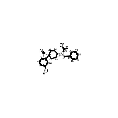 COc1cccc([C@]2(C#N)CC[C@@H](N(Cc3ccccc3)C(C)=O)CC2)c1